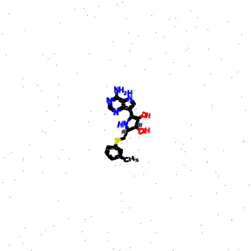 Cc1cccc(SC[C@H]2NC(c3c[nH]c4c(N)ncnc34)C(O)[C@H]2O)c1